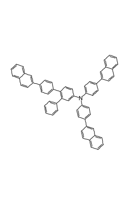 c1ccc(-c2cc(N(c3ccc(-c4ccc5ccccc5c4)cc3)c3ccc(-c4ccc5ccccc5c4)cc3)ccc2-c2ccc(-c3ccc4ccccc4c3)cc2)cc1